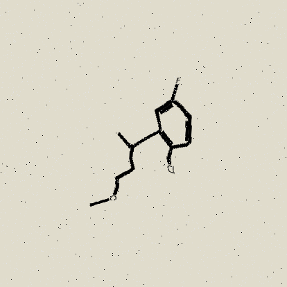 [CH2]C(CCOC)c1cc(F)ccc1Cl